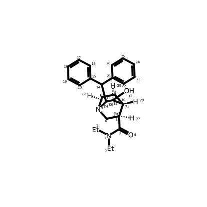 CCN(CC)C(=O)[C@H]1CN2CC[C@H]1[C@H](O)[C@@H]2C(c1ccccc1)c1ccccc1